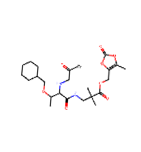 Cc1oc(=O)oc1COC(=O)C(C)(C)CNC(=O)C(NCC(=O)C(C)C)[C@@H](C)OCC1CCCCC1